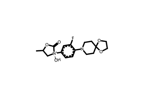 CC1C[N@+](O)(c2ccc(N3CCC4(CC3)OCCO4)c(F)c2)C(=O)O1